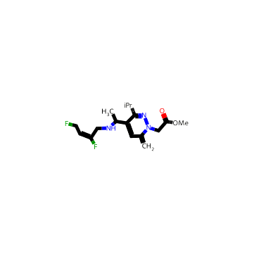 C=C1C=C(C(C)NC/C(F)=C\CF)C(C(C)C)=NN1CC(=O)OC